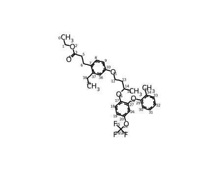 CCOC(=O)CCc1ccc(OCCC(C)Oc2ccc(OC(F)(F)F)cc2Oc2ccccc2C)cc1CC